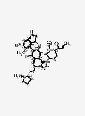 C=CC(=O)N1CCC(n2cnc3c(OC[C@@H]4CCCN4C)nc4c(F)c(-c5c(C)c(Cl)cc6[nH]ncc56)c(Cl)cc4c32)CC1CC#N